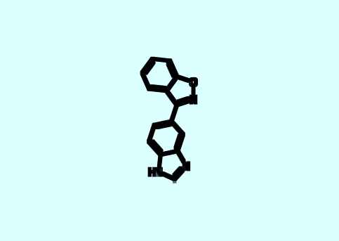 [c]1nc2cc(-c3noc4ccccc34)ccc2[nH]1